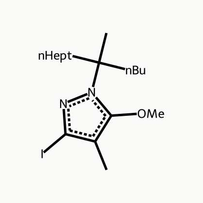 CCCCCCCC(C)(CCCC)n1nc(I)c(C)c1OC